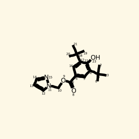 CC(C)(C)c1cc(C(=O)OCn2cccn2)cc(C(C)(C)C)c1O